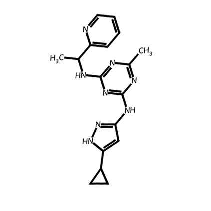 Cc1nc(Nc2cc(C3CC3)[nH]n2)nc(NC(C)c2ccccn2)n1